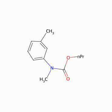 CCCOC(=O)N(C)c1cccc(C)c1